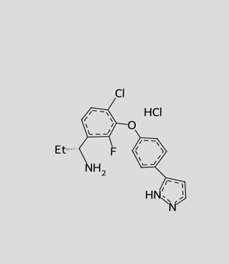 CC[C@@H](N)c1ccc(Cl)c(Oc2ccc(-c3ccn[nH]3)cc2)c1F.Cl